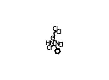 ClC(Cl)=CCOC1CN(Cl)C(c2ccccc2)C(Cl)N1